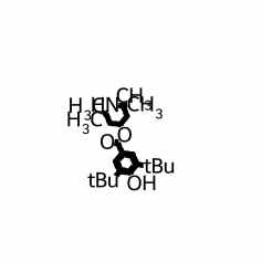 CC1(C)CC(OC(=O)c2cc(C(C)(C)C)c(O)c(C(C)(C)C)c2)CC(C)(C)N1